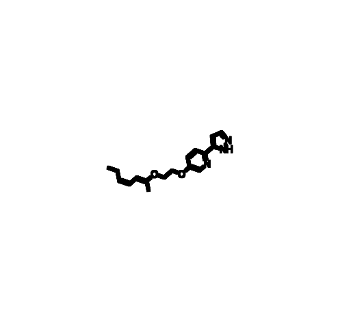 CC/C=C\C=C(/C)OCCOc1ccc(-c2ccn[nH]2)nc1